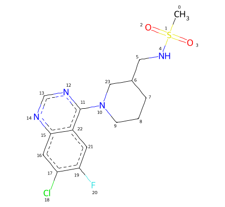 CS(=O)(=O)NCC1CCCN(c2ncnc3cc(Cl)c(F)cc23)C1